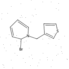 BrC1C=CC=CN1Cc1ccsc1